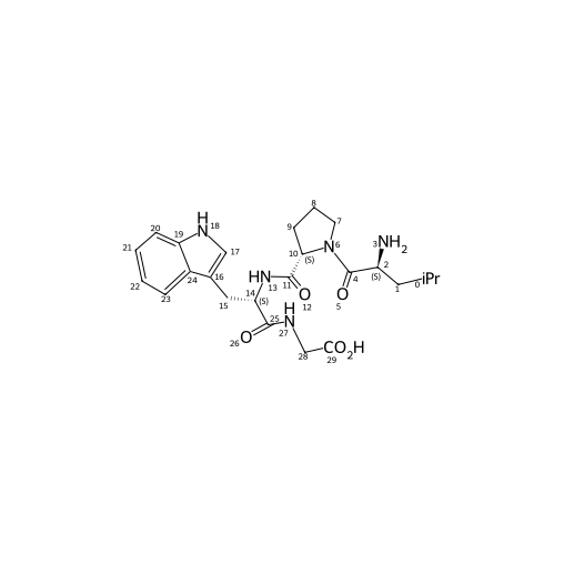 CC(C)C[C@H](N)C(=O)N1CCC[C@H]1C(=O)N[C@@H](Cc1c[nH]c2ccccc12)C(=O)NCC(=O)O